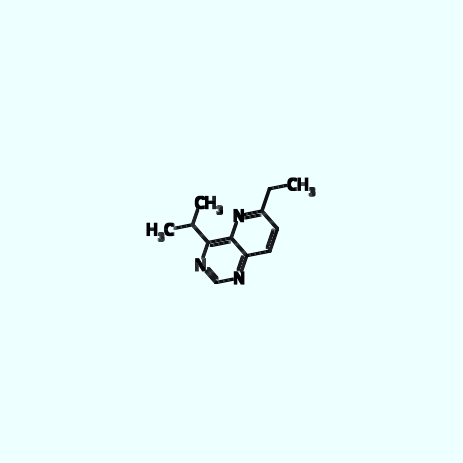 CCc1ccc2ncnc(C(C)C)c2n1